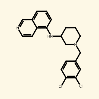 Clc1ccc(CN2CCCC(Nc3cccc4cnccc34)C2)cc1Cl